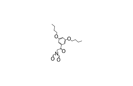 CCCCOc1cc(OCCCC)cc(C(=O)CN(C=O)C=O)c1